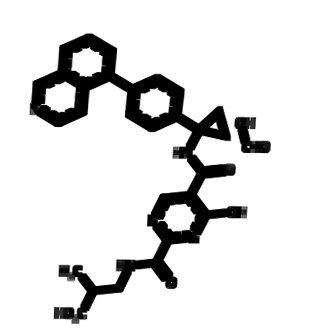 CC(CNC(=O)c1ncc(C(=O)NC2(c3ccc(-c4cccc5cnccc45)cc3)CC2)c(O)n1)C(=O)O.O=CO